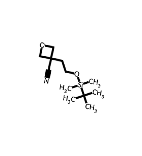 CC(C)(C)[Si](C)(C)OCCC1(C#N)COC1